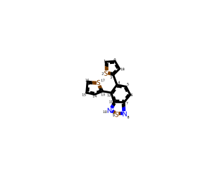 c1csc(-c2ccc3nsnc3c2-c2cccs2)c1